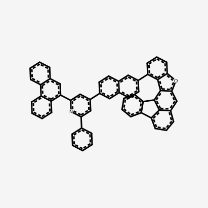 c1ccc(-c2cc(-c3ccc4cc(-c5cccc6oc7cc8cccc9c8c(c7c56)-c5ccccc5-9)ccc4c3)cc(-c3cc4ccccc4c4ccccc34)n2)cc1